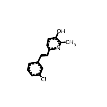 Cc1nc(/C=C/c2cccc(Cl)c2)ccc1O